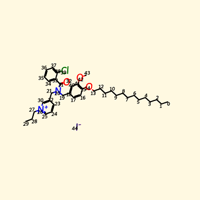 CCCCCCCCCCCCCCOc1ccc(CN(Cc2ccc[n+](CCC)c2)C(=O)c2ccccc2Cl)cc1OC.[I-]